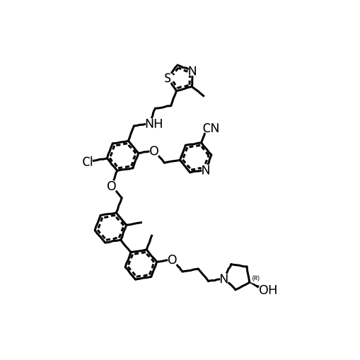 Cc1ncsc1CCNCc1cc(Cl)c(OCc2cccc(-c3cccc(OCCCN4CC[C@@H](O)C4)c3C)c2C)cc1OCc1cncc(C#N)c1